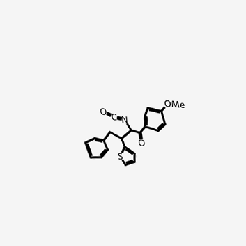 COc1ccc(C(=O)C(N=C=O)C(Cc2ccccc2)c2cccs2)cc1